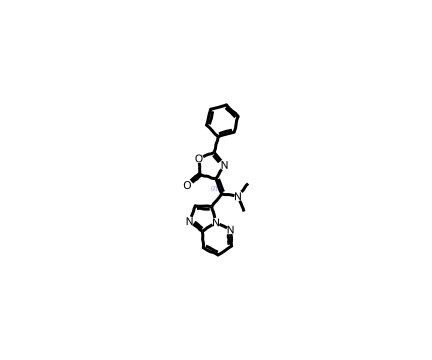 CN(C)/C(=C1\N=C(c2ccccc2)OC1=O)c1cnc2cccnn12